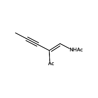 CC#C/C(=C/NC(C)=O)C(C)=O